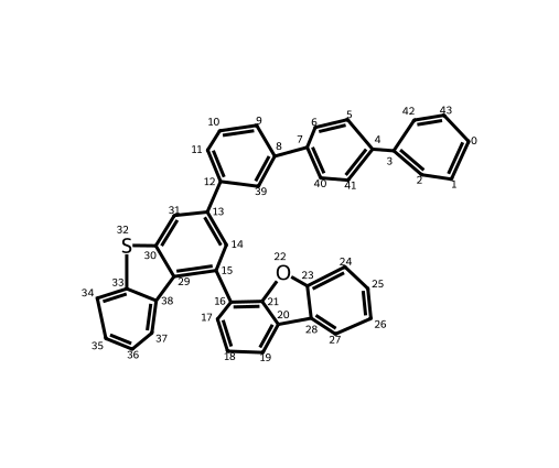 c1ccc(-c2ccc(-c3cccc(-c4cc(-c5cccc6c5oc5ccccc56)c5c(c4)sc4ccccc45)c3)cc2)cc1